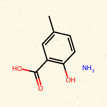 Cc1ccc(O)c(C(=O)O)c1.N